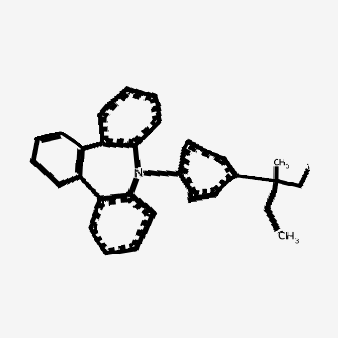 CCC(C)(CI)c1ccc(N2c3ccccc3C3=C(CCC=C3)c3ccccc32)cc1